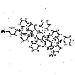 CC(C)c1ccc(N(c2ccccc2)c2cccc3c2c2cccc4c5c(-c6ccccc6)c6c(c(-c7ccccc7)c5n3c24)c2cccc3c4c(N(c5ccccc5)c5ccc(C(C)C)cc5)cccc4n6c32)cc1